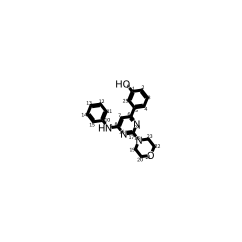 Oc1cccc(-c2cc(Nc3ccccc3)nc(N3CCOCC3)n2)c1